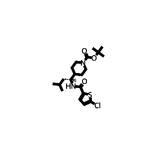 CC(C)C[C@@H](NC(=O)c1ccc(Cl)s1)C1CCN(C(=O)OC(C)(C)C)CC1